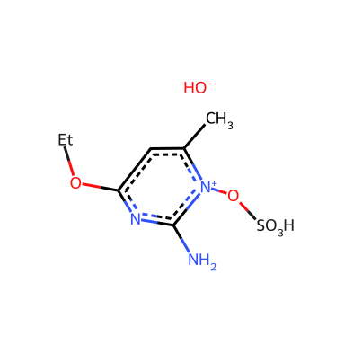 CCOc1cc(C)[n+](OS(=O)(=O)O)c(N)n1.[OH-]